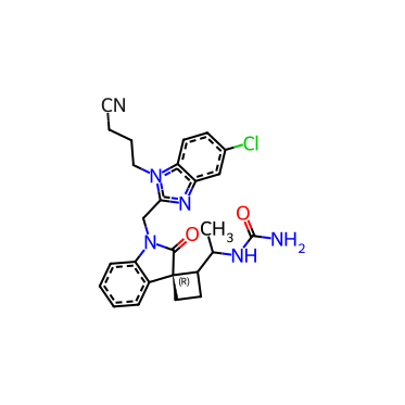 CC(NC(N)=O)C1CC[C@@]12C(=O)N(Cc1nc3cc(Cl)ccc3n1CCCC#N)c1ccccc12